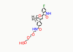 CC1(C)O/C(=C2/C(=O)Nc3cc(F)ccc32)C=C1c1ccc(C(=O)NCCOCCOCCOO)cc1